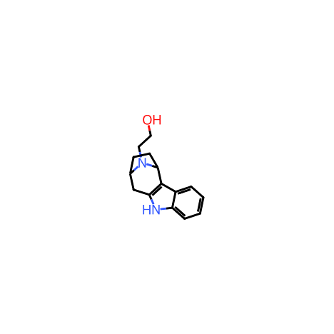 OCCN1C2CCC1c1c([nH]c3ccccc13)C2